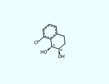 O[C@@H]1CCc2cccc(Cl)c2[C@@H]1O